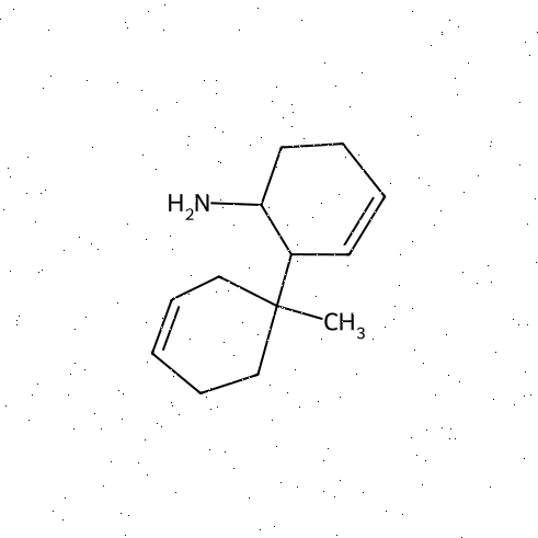 CC1(C2C=CCCC2N)CC=CCC1